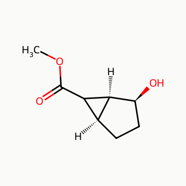 COC(=O)C1[C@H]2[C@@H](O)CC[C@@H]12